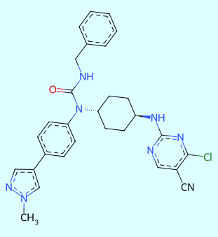 Cn1cc(-c2ccc(N(C(=O)NCc3ccccc3)[C@H]3CC[C@H](Nc4ncc(C#N)c(Cl)n4)CC3)cc2)cn1